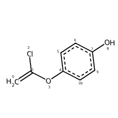 C=C(Cl)Oc1ccc(O)cc1